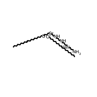 CCCCCCCCC=CCCCCCCCCOCC(C[N+](C)(C)CCNCCCNCCCCNCCCN)OCCCCCCCCC=CCCCCCCCC